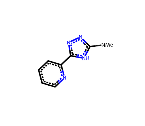 CNc1nnc(-c2ccccn2)[nH]1